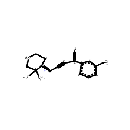 CC1(C)CNCC/C1=C\C#CC(=O)c1cccc(Cl)c1